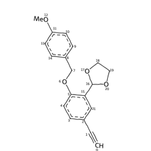 C#Cc1ccc(OCc2ccc(OC)cc2)c(C2OCCO2)c1